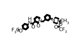 C[N+]1(OC(=O)C(F)(F)F)CCN(c2cccc(Cn3cccc(C(=O)Nc4ccc(OC(F)(F)F)cc4)c3=O)c2)CC1